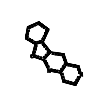 c1ccc2c(c1)oc1nc3ccncc3cc12